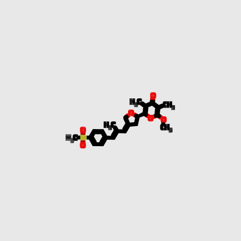 COc1oc([C@H]2C/C(=C/C(C)=C/c3ccc(S(C)(=O)=O)cc3)CO2)c(C)c(=O)c1C